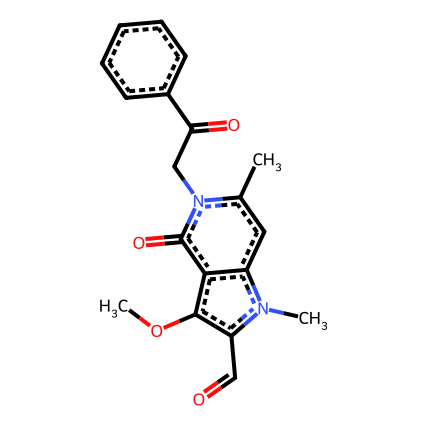 COc1c(C=O)n(C)c2cc(C)n(CC(=O)c3ccccc3)c(=O)c12